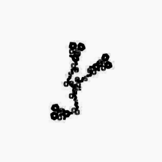 CCC(COC(=O)CCSCCC(=O)OCc1cc(C)c(C(=O)P(=O)(c2ccccc2)c2ccccc2)c(C)c1)(COC(=O)CCSCCC(=O)OCc1cc(C)c(C(=O)P(=O)(c2ccccc2)c2ccccc2)c(C)c1)COC(=O)CCSCCC(=O)OCc1cc(C)c(C(=O)P(=O)(c2ccccc2)c2ccccc2)c(C)c1